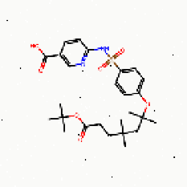 CC(C)(CCC(=O)OC(C)(C)C)CC(C)(C)Oc1ccc(S(=O)(=O)Nc2ccc(C(=O)O)cn2)cc1